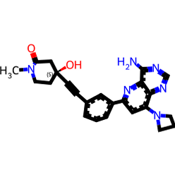 CN1CC[C@@](O)(C#Cc2cccc(-c3cc(N4CCC4)c4ncnc(N)c4n3)c2)CC1=O